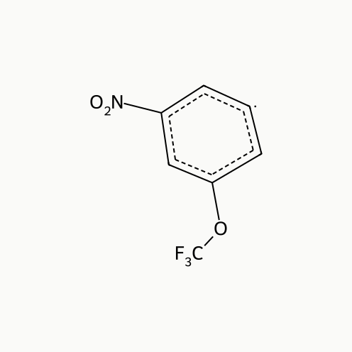 O=[N+]([O-])c1c[c]cc(OC(F)(F)F)c1